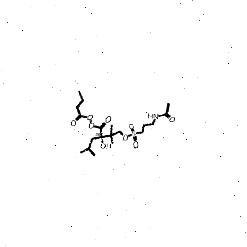 CCCC(=O)OOC(=O)[C@@](O)(CC(C)C)C(C)(C)COS(=O)(=O)CCCNC(C)=O